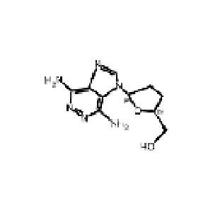 Nc1nnc(N)c2c1ncn2[C@H]1CC[C@@H](CO)O1